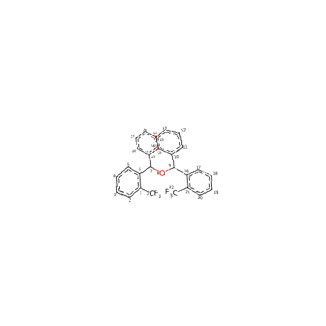 FC(F)(F)c1ccccc1C(OC(c1ccccc1)c1ccccc1C(F)(F)F)c1ccccc1